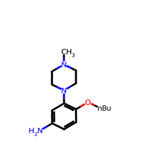 CCCCOc1ccc(N)cc1N1CCN(C)CC1